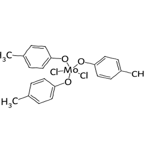 Cc1ccc([O][Mo]([Cl])([Cl])([O]c2ccc(C)cc2)[O]c2ccc(C)cc2)cc1